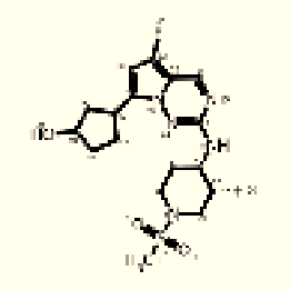 CS(=O)(=O)N1CC[C@@H](Nc2ncc3c(F)cc(C4CCC(O)C4)n3n2)[C@H](F)C1